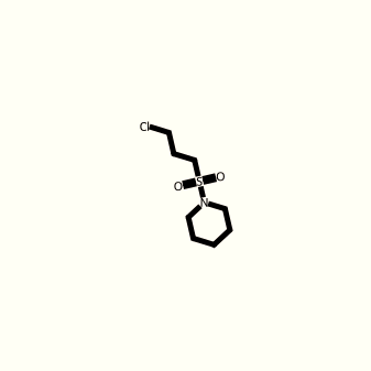 O=S(=O)(CCCCl)N1CC[CH]CC1